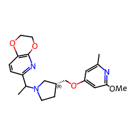 COc1cc(OC[C@@H]2CCN(C(C)c3ccc4c(n3)OCCO4)C2)cc(C)n1